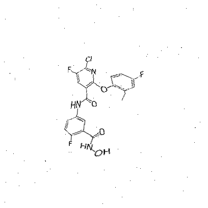 Cc1cc(F)ccc1Oc1nc(Cl)c(F)cc1C(=O)Nc1ccc(F)c(C(=O)NO)c1